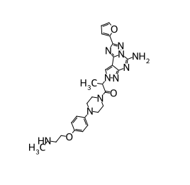 CNCCOc1ccc(N2CCN(C(=O)C(C)n3cc4c(nc(N)n5nc(-c6ccco6)nc45)n3)CC2)cc1